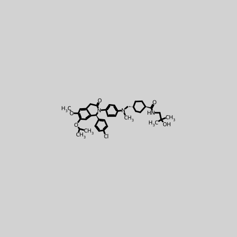 COc1cc2c(cc1OC(C)C)[C@H](c1ccc(Cl)cc1)N(c1ccc(N(C)C[C@H]3CC[C@H](C(=O)NCC(C)(C)O)CC3)cc1)C(=O)C2